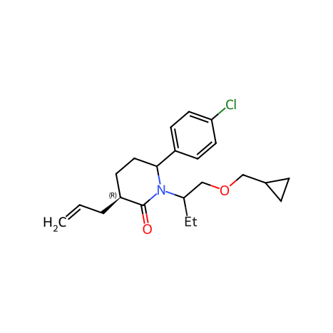 C=CC[C@H]1CCC(c2ccc(Cl)cc2)N(C(CC)COCC2CC2)C1=O